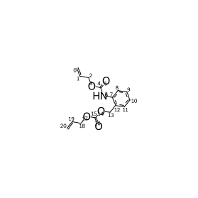 C=CCOC(=O)Nc1ccccc1COC(=O)OCC=C